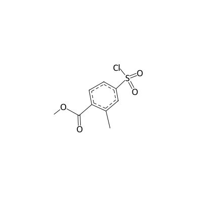 COC(=O)c1ccc(S(=O)(=O)Cl)cc1C